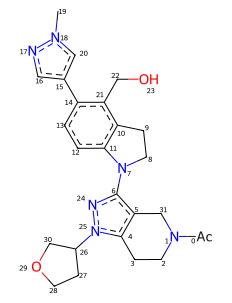 CC(=O)N1CCc2c(c(N3CCc4c3ccc(-c3cnn(C)c3)c4CO)nn2C2CCOC2)C1